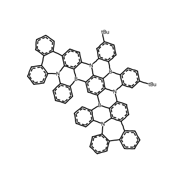 CC(C)(C)c1ccc2c(c1)N1c3ccc4c5c3B(c3ccccc3N5c3ccccc3-c3ccccc3-4)c3cc4c5c(c31)B2c1ccc(C(C)(C)C)cc1N5c1ccc2c3c1B4c1ccccc1N3c1ccccc1-c1ccccc1-2